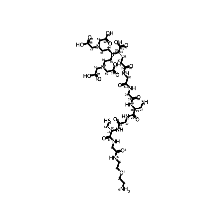 NCCOCCNC(=O)CNC(=O)[C@H](CS)NC(=O)CNC(=O)[C@H](CS)NC(=O)CNC(=O)CNC(=O)CC[C@@H](C(=O)O)N(CCN(CC(=O)O)CC(=O)O)CCN(CC(=O)O)CC(=O)O